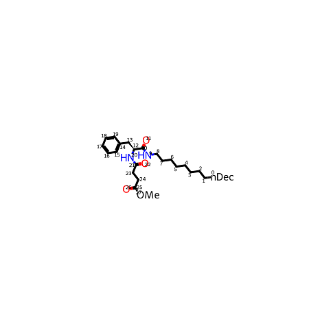 CCCCCCCCCCCCCCCCCCNC(=O)[C@H](Cc1ccccc1)NC(=O)CCC(=O)OC